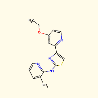 CCOc1ccnc(-c2csc(Nc3ncccc3C)n2)c1